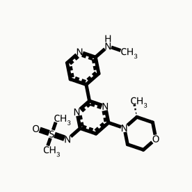 CNc1cc(-c2nc(N=S(C)(C)=O)cc(N3CCOC[C@H]3C)n2)ccn1